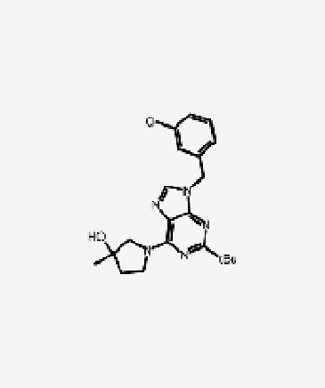 CC1(O)CCN(c2nc(C(C)(C)C)nc3c2ncn3Cc2cccc(Cl)c2)C1